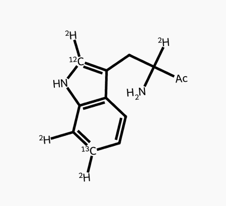 [2H]c1c2[nH][12c]([2H])c(CC([2H])(N)C(C)=O)c2cc[13c]1[2H]